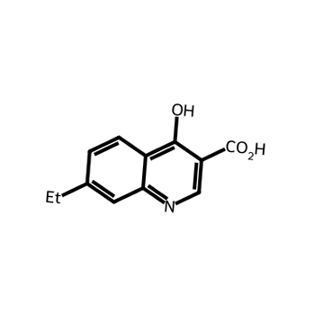 CCc1ccc2c(O)c(C(=O)O)cnc2c1